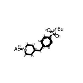 CCCCS(=O)(=O)c1ccc(CC2CCN(C(C)=O)CC2)cc1